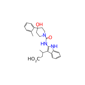 Cc1ccccc1C1(O)CCN(C(=O)Nc2[nH]c3ccccc3c2C(C)CC(=O)O)CC1